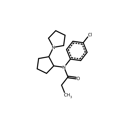 CCC(=O)N(c1ccc(Cl)cc1)C1CCCC1N1CCCC1